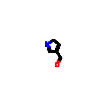 O=CC1=CCN=C1